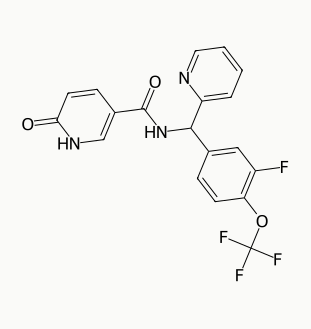 O=C(NC(c1ccc(OC(F)(F)F)c(F)c1)c1ccccn1)c1ccc(=O)[nH]c1